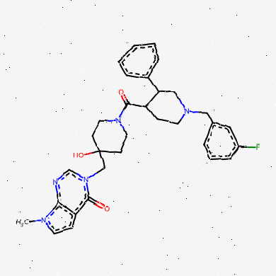 Cn1ccc2c(=O)n(CC3(O)CCN(C(=O)C4CCN(Cc5cccc(F)c5)CC4c4ccccc4)CC3)cnc21